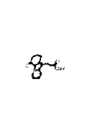 O=C(O)CCc1c2c(n3ccccc13)C(=O)CCC2